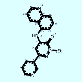 CCn1nc(-c2cccnc2)cc(Nc2cccc3ncccc23)c1=O